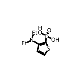 CCN(CC)c1ccsc1P(=O)(O)O